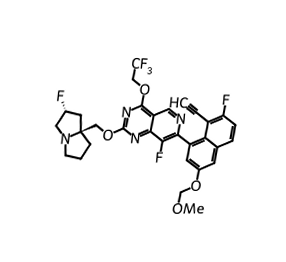 C#Cc1c(F)ccc2cc(OCOC)cc(-c3ncc4c(OCC(F)(F)F)nc(OC[C@@]56CCCN5C[C@H](F)C6)nc4c3F)c12